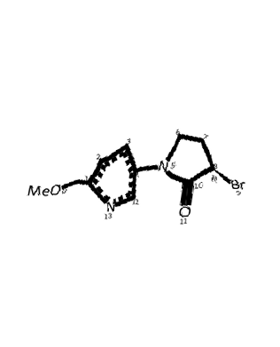 COc1ccc(N2CC[C@@H](Br)C2=O)cn1